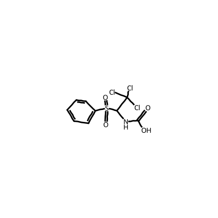 O=C(O)NC(C(Cl)(Cl)Cl)S(=O)(=O)c1ccccc1